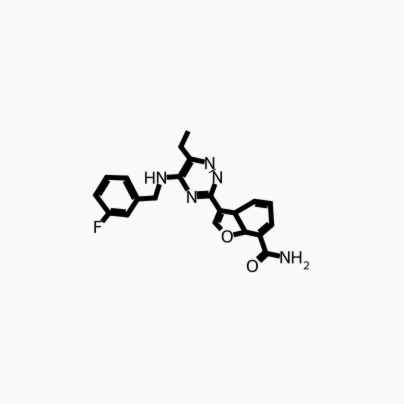 CCc1nnc(C2=COC3C(C(N)=O)=CC=CC23)nc1NCc1cccc(F)c1